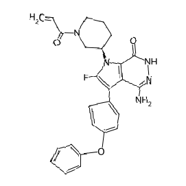 C=CC(=O)N1CCC[C@@H](n2c(F)c(-c3ccc(Oc4ccccc4)cc3)c3c(N)n[nH]c(=O)c32)C1